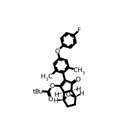 Cc1cc(Oc2ccc(F)cc2)cc(C)c1C1=C(OC(=O)C(C)(C)C)[C@H]2[C@@H](C1=O)[C@@H]1CC[C@H]2O1